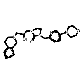 O=C1N(Cc2ccc(N3CCOCC3)cn2)CCN1CC(O)CN1CCc2ccccc2C1